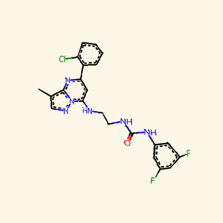 Cc1cnn2c(NCCNC(=O)Nc3cc(F)cc(F)c3)cc(-c3ccccc3Cl)nc12